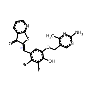 Cc1nc(N)ncc1COc1cc(/C=C2\Sc3ncccc3C2=O)c(Br)c(F)c1O